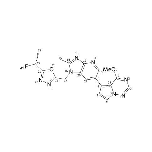 COc1ncnn2ccc(-c3cnc4nc(C)n(Cc5nnc(C(F)F)o5)c4c3)c12